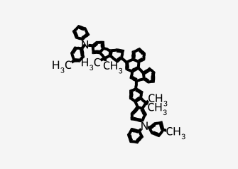 Cc1ccc(N(c2ccccc2)c2ccc3c(c2)C(C)(C)c2cc(-c4cc5cc(-c6ccc7c(c6)C(C)(C)c6cc(N(c8ccccc8)c8ccc(C)cc8)ccc6-7)c6ccccc6c5c5ccccc45)ccc2-3)cc1